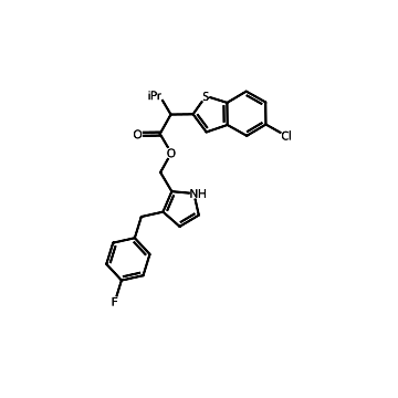 CC(C)C(C(=O)OCc1[nH]ccc1Cc1ccc(F)cc1)c1cc2cc(Cl)ccc2s1